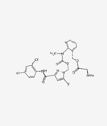 CNCC(=O)OCc1cccnc1N(C)C(=O)OCn1nc(C(=O)Nc2ccc(Cl)cc2Cl)cc1F